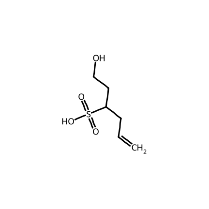 C=CCC(CCO)S(=O)(=O)O